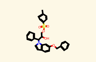 Cc1ccc(S(=O)(=O)OCC(O)C(c2ccccc2)n2ccc3ccc(OCc4ccccc4)cc32)cc1